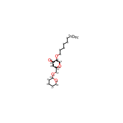 CCCCCCCCCCCCCCCCOc1coc(COC2CCCCO2)cc1=O